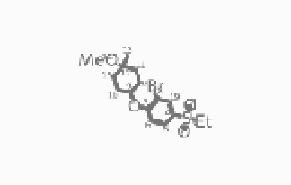 CCS(=O)(=O)c1ccc(OC2CCC(C)(OC)CC2)c(Br)c1